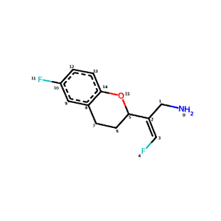 NC/C(=C/F)C1CCc2cc(F)ccc2O1